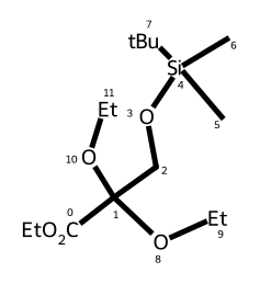 CCOC(=O)C(CO[Si](C)(C)C(C)(C)C)(OCC)OCC